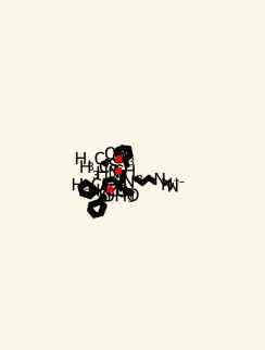 CC[C@@H](CC(C)(C)[Si](O)(c1ccccc1)c1ccccc1)[C@@]1(C)OC(=O)N(CCCCN=[N+]=[N-])[C@@H]1[C@@H](Cc1ccccc1)N[S@@+]([O-])C(C)(C)C